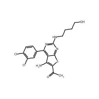 CC(=O)c1sc2nc(NCCCCO)nc(-c3ccc(Cl)c(Cl)c3)c2c1N